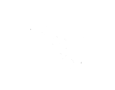 CC1CCN(c2nc(-c3cc(F)cc(OC(C)C)c3)ccc2C(=O)NS(=O)(=O)c2cccc(N)n2)CC1